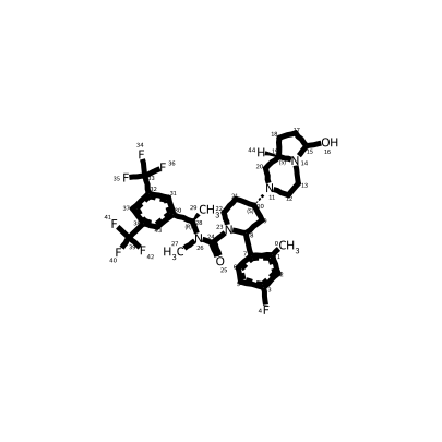 Cc1cc(F)ccc1C1C[C@@H](N2CCN3C(O)CC[C@H]3C2)CCN1C(=O)N(C)[C@H](C)c1cc(C(F)(F)F)cc(C(F)(F)F)c1